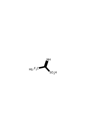 N=C(C(F)(F)F)S(=O)(=O)O.[LiH]